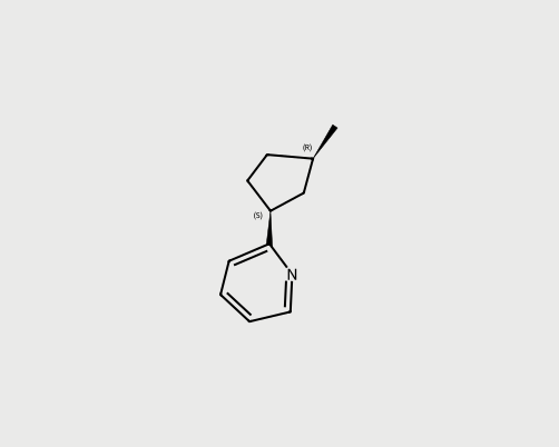 C[C@@H]1CC[C@H](c2ccccn2)C1